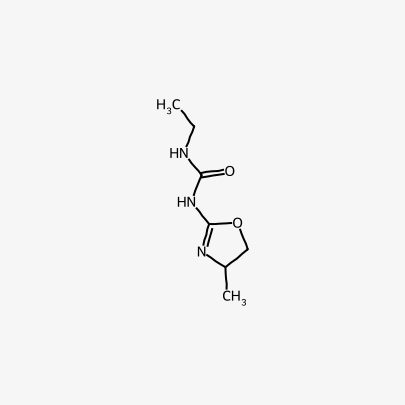 CCNC(=O)NC1=NC(C)CO1